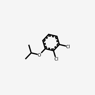 CC(C)Oc1cccc(Cl)c1Cl